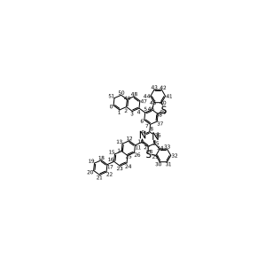 C1=Cc2cc(-c3cc(-c4nc(-c5ccc6cc(-c7ccccc7)ccc6c5)c5sc6ccccc6c5n4)cc4sc5ccccc5c34)ccc2CC1